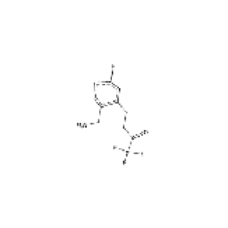 NCc1ccc(F)cc1CCC(=O)C(F)(F)F